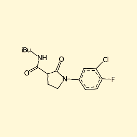 CCC(C)NC(=O)C1CCN(c2ccc(F)c(Cl)c2)C1=O